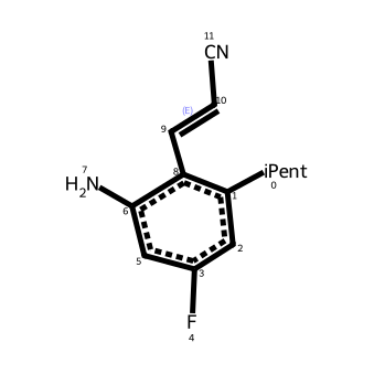 CCCC(C)c1cc(F)cc(N)c1/C=C/C#N